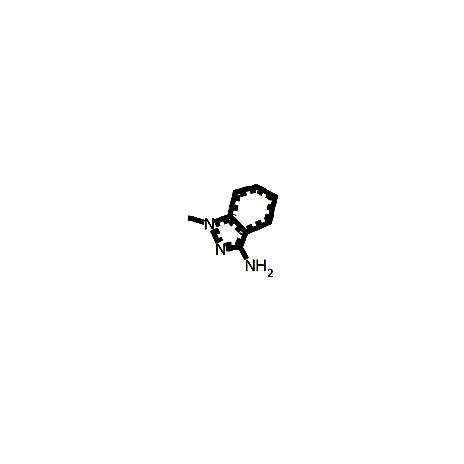 Cn1nc(N)c2ccccc21